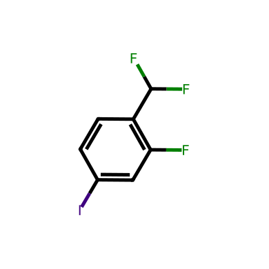 Fc1cc(I)ccc1C(F)F